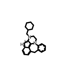 C1=C[C@@H]2C[C@@H]3C4=C2C(=C1)Cc1ccccc1N4CCN3CC1CCCCC1